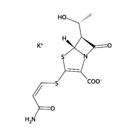 C[C@@H](O)[C@H]1C(=O)N2C(C(=O)[O-])=C(S/C=C\C(N)=O)S[C@H]12.[K+]